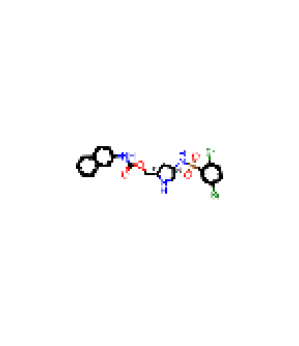 O=C(Nc1ccc2ccccc2c1)OC[C@H]1C[C@@H](NS(=O)(=O)c2cc(Br)ccc2Br)CN1